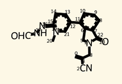 C=C(C#N)CN1Cc2c(cccc2-c2cc/c(=N/NC=O)n(C)c2)C1=O